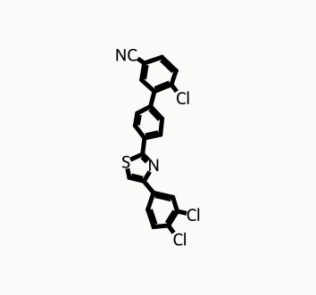 N#Cc1ccc(Cl)c(-c2ccc(-c3nc(-c4ccc(Cl)c(Cl)c4)cs3)cc2)c1